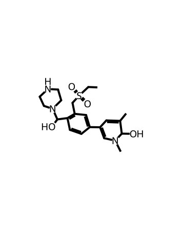 CCS(=O)(=O)Cc1cc(C2=CN(C)C(O)C(C)=C2)ccc1C(O)N1CCNCC1